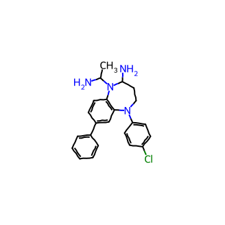 CC(N)N1c2ccc(-c3ccccc3)cc2N(c2ccc(Cl)cc2)CCC1N